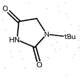 CC(C)(C)N1CC(=O)NC1=O